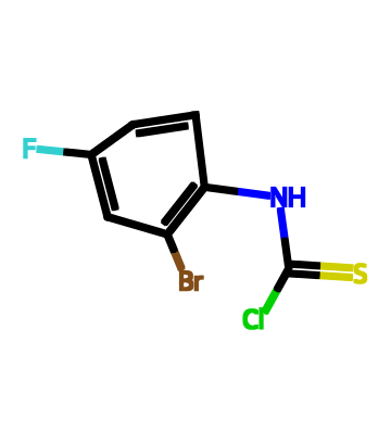 Fc1ccc(NC(=S)Cl)c(Br)c1